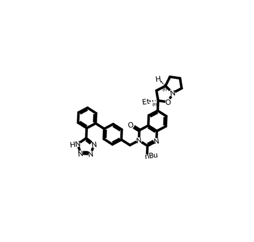 CCCCc1nc2ccc([C@@]3(CC)C[C@H]4CCCN4O3)cc2c(=O)n1Cc1ccc(-c2ccccc2-c2nnn[nH]2)cc1